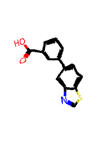 O=C(O)c1cccc(-c2ccc3scnc3c2)c1